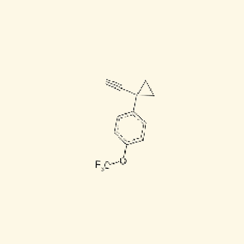 C#CC1(c2ccc(OC(F)(F)F)cc2)CC1